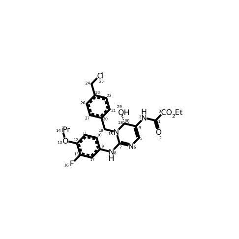 CCOC(=O)C(=O)NC1=CN=C(Nc2ccc(OC(C)C)c(F)c2)N(Cc2ccc(CCl)cc2)[C@@H]1O